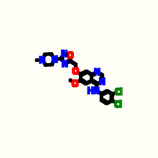 COc1cc2c(Nc3ccc(Cl)c(Cl)c3)ncnc2cc1OCc1nc(N2CCN(C)CC2)no1